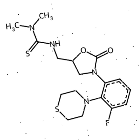 CN(C)C(=S)NCC1CN(c2cccc(F)c2N2CCSCC2)C(=O)O1